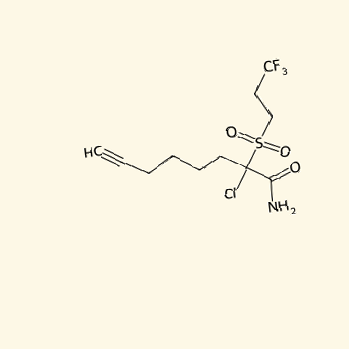 C#CCCCCC(Cl)(C(N)=O)S(=O)(=O)CCC(F)(F)F